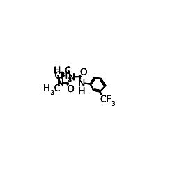 CN(C)C(=O)N(C)C(=O)Nc1cccc(C(F)(F)F)c1